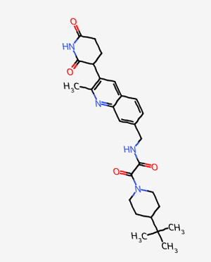 Cc1nc2cc(CNC(=O)C(=O)N3CCC(C(C)(C)C)CC3)ccc2cc1C1CCC(=O)NC1=O